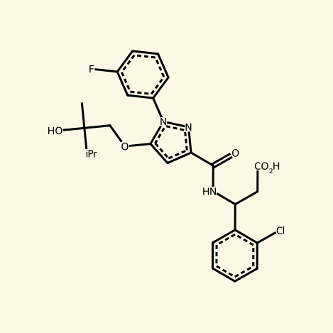 CC(C)C(C)(O)COc1cc(C(=O)NC(CC(=O)O)c2ccccc2Cl)nn1-c1cccc(F)c1